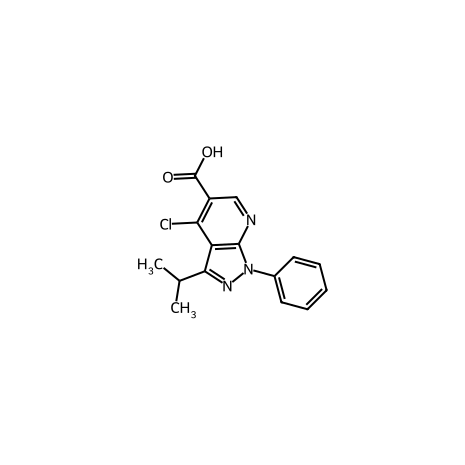 CC(C)c1nn(-c2ccccc2)c2ncc(C(=O)O)c(Cl)c12